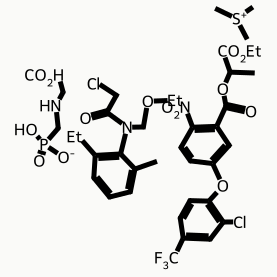 CCOC(=O)C(C)OC(=O)c1cc(Oc2ccc(C(F)(F)F)cc2Cl)ccc1[N+](=O)[O-].CCOCN(C(=O)CCl)c1c(C)cccc1CC.C[S+](C)C.O=C(O)CNCP(=O)([O-])O